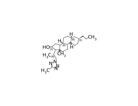 CCC[C@H]1CC[C@@H]2C3CC[C@@]4(C)C(C[C@H](O)C4[C@@H](C)Cn4nnc(C)n4)[C@@H]3CC[C@@H]2C1